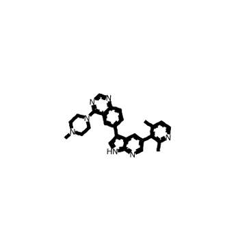 Cc1ccnc(C)c1-c1cnc2[nH]cc(-c3ccc4ncnc(N5CCN(C)CC5)c4c3)c2c1